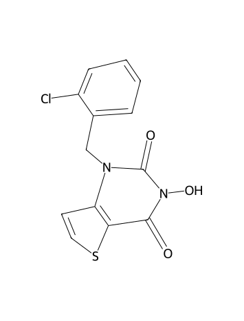 O=c1c2sccc2n(Cc2ccccc2Cl)c(=O)n1O